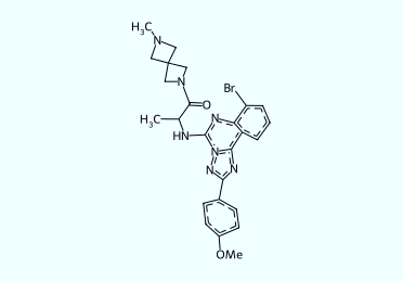 COc1ccc(-c2nc3c4cccc(Br)c4nc(NC(C)C(=O)N4CC5(CN(C)C5)C4)n3n2)cc1